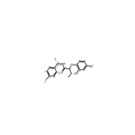 CCC(Oc1ccc(Cl)cc1Cl)C(=O)N[C@@H](C)c1ccc(F)cc1